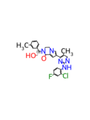 Cc1cccc([C@@H](CO)N2CCn3cc(-c4nc(Nc5ccc(F)cc5Cl)ncc4C)cc3C2=O)c1